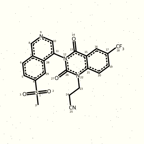 CS(=O)(=O)c1ccc2cncc(-n3c(=O)c4cc(C(F)(F)F)ccc4n(CCC#N)c3=O)c2c1